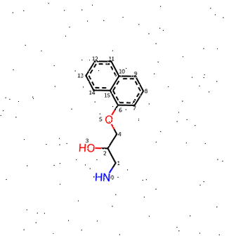 [NH]CC(O)COc1cccc2ccccc12